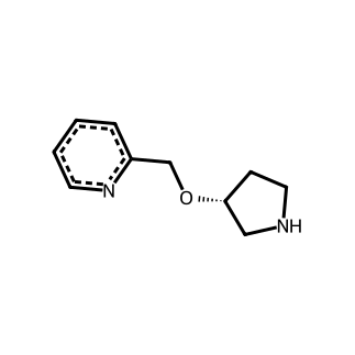 c1ccc(CO[C@@H]2CCNC2)nc1